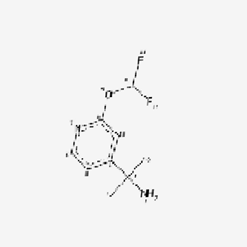 CC(C)(N)c1ccnc(OC(F)F)c1